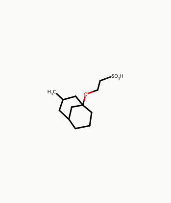 CC1CC2CCCC(OCCS(=O)(=O)O)(C1)C2